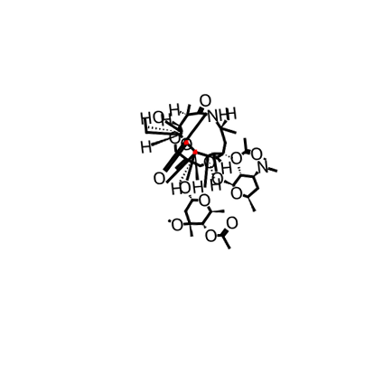 C=C1CO[C@@H]2[C@@H](C)C(=O)N[C@H](C)C[C@@](C)(OC1)[C@H](O[C@@H]1O[C@H](C)C[C@H](N(C)C)[C@H]1OC(C)=O)[C@@H](C)[C@H](O[C@H]1C[C@@](C)(OC)[C@@H](OC(C)=O)[C@H](C)O1)[C@@H](C)C(=O)O[C@H](CC)[C@@]2(C)O